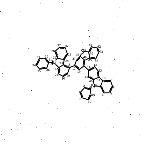 c1ccc(-n2c3ccccc3c3ccc(-c4cc(-c5cccc6c5c5ccccc5n6-c5ccccc5)cc5sc6ccccc6c45)cc32)cc1